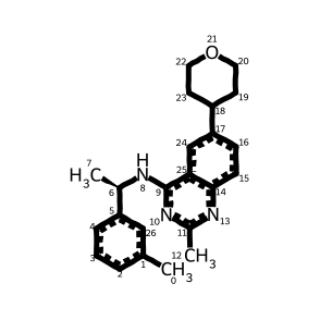 Cc1cccc([C@@H](C)Nc2nc(C)nc3ccc(C4CCOCC4)cc23)c1